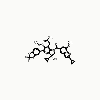 CCOc1c(CC(N)=O)cc([C@@](O)(CNC(=O)c2cc(OC)n3nc(C4CC4)cc3c2)C2CC2)nc1-c1ccc2c(c1)OC(F)(F)O2